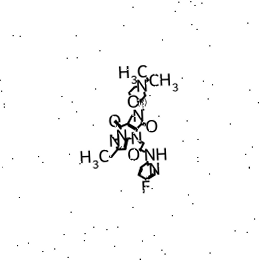 CCc1cc2n(CC(=O)Nc3ccc(F)cn3)c3c(c(=O)n2n1)CN(C[C@H]1CN(C(C)C)CCO1)C3=O